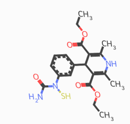 CCOC(=O)C1=C(C)NC(C)=C(C(=O)OCC)C1c1cccc(N(S)C(N)=O)c1